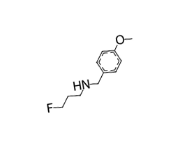 COc1ccc(CNCCCF)cc1